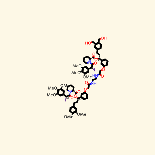 COc1ccc(CC[C@@H](OC(=O)[C@@H]2CCCCN2C(=O)[C@@H](I)c2cc(OC)c(OC)c(OC)c2)c2cccc(OCC(=O)NCCNC(=O)COc3cccc([C@@H](CCc4ccc(CO)c(CO)c4)OC(=O)[C@@H]4CCCCN4C(=O)[C@@H](I)c4cc(OC)c(OC)c(OC)c4)c3)c2)cc1OC